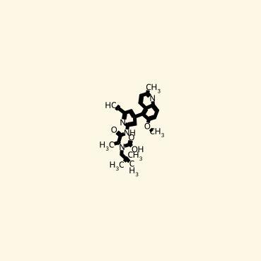 C#Cc1cc(-c2c(OC)ccc3nc(C)ccc23)cc(NC(=O)C(C)N(CC(C)(C)C)C(=O)O)n1